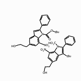 CC(C)(C)OC(=O)n1c(-c2ccccc2)cc2cc(CCO)cc([N+](=O)[O-])c21.CC(C)(C)c1c(-c2ccccc2)n(C(=O)O)c2c([N+](=O)[O-])cc(CCO)cc12